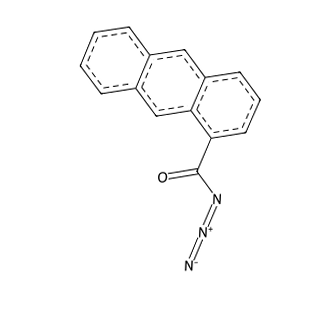 [N-]=[N+]=NC(=O)c1cccc2cc3ccccc3cc12